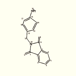 C=c1c2ccccc2c(=C)n1Cc1ccc(CCC)cc1